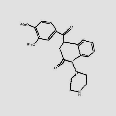 COc1ccc(C(=O)C2CC(=O)N(N3CCNCC3)c3ccccc32)cc1OC